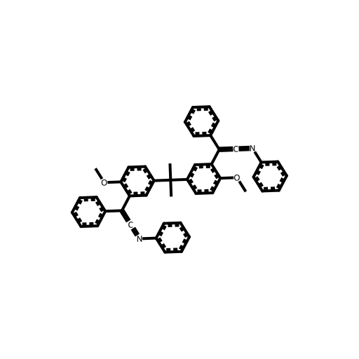 COc1ccc(C(C)(C)c2ccc(OC)c(C(=C=Nc3ccccc3)c3ccccc3)c2)cc1C(=C=Nc1ccccc1)c1ccccc1